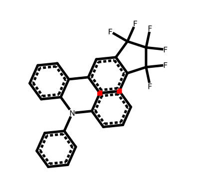 FC1(F)c2ccc(-c3ccccc3N(c3ccccc3)c3ccccc3)cc2C(F)(F)C1(F)F